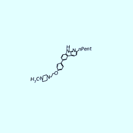 CCCCCc1ccc2c(n1)[nH]c1ccc(-c3ccc(OCCN4CCN(C)CC4)cc3)cc12